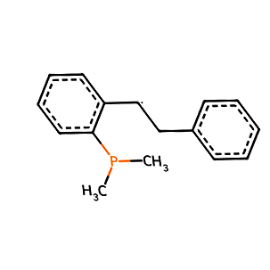 CP(C)c1ccccc1[CH]Cc1ccccc1